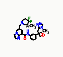 C[C@@H]1CN(Cc2cc(C(=O)Nc3cccc(C4(Cc5nncn5C)COC4)c3)c3nccn3c2)CCC1(F)F